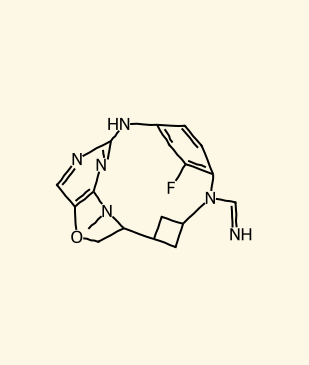 CN1c2nc3ncc2OCC1C1CC(C1)N(C=N)c1ccc(cc1F)N3